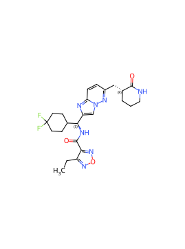 CCc1nonc1C(=O)N[C@H](c1cn2nc(C[C@H]3CCCNC3=O)ccc2n1)C1CCC(F)(F)CC1